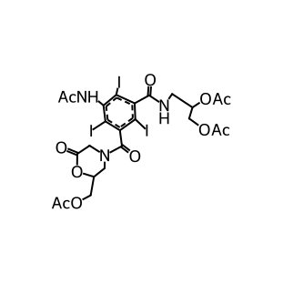 CC(=O)Nc1c(I)c(C(=O)NCC(COC(C)=O)OC(C)=O)c(I)c(C(=O)N2CC(=O)OC(COC(C)=O)C2)c1I